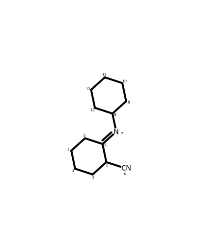 N#CC1CCCC/C1=N\C1CCCCC1